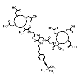 CC(C(=O)NCC(=O)NC[C@H](NC(=O)CNC(=O)C(C)N1CCN(CC(=O)O)CCN(CC(=O)O)CCN(CC(=O)O)CC1)C(=O)NCCCc1ccc(C#C[Si](C)(C)C)cc1)N1CCN(CC(=O)O)CCN(CC(=O)O)CCN(CC(=O)O)CC1